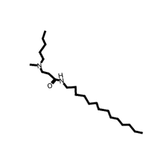 CCCCCCCCCCCCCCNC(=O)CCN(C)CCCCC